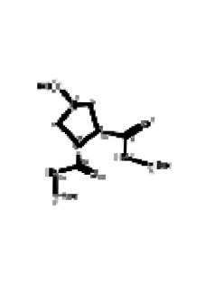 CCCCCCNC(=O)[C@@H]1CN(C(=O)O)C[C@H]1C(=O)NCCCCCC